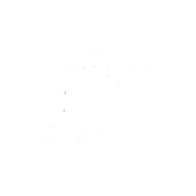 Cc1cc(NC(=O)NCCN2CCC(NS(=O)(=O)c3ccc4ccccc4c3)C2)c2ccccc2n1